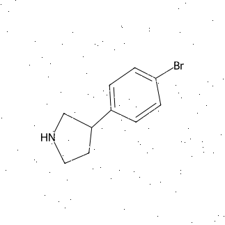 Brc1ccc(C2CCNC2)cc1